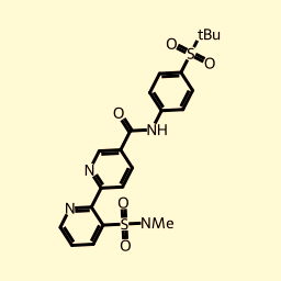 CNS(=O)(=O)c1cccnc1-c1ccc(C(=O)Nc2ccc(S(=O)(=O)C(C)(C)C)cc2)cn1